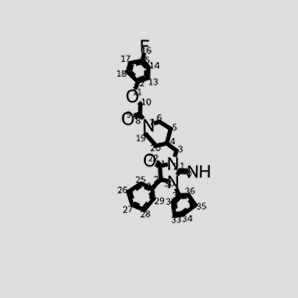 N=C1N(CC2CCN(C(=O)COc3ccc(F)cc3)CC2)C(=O)C(c2ccccc2)N1c1ccccc1